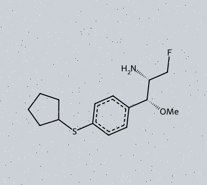 CO[C@H](c1ccc(SC2CCCC2)cc1)[C@H](N)CF